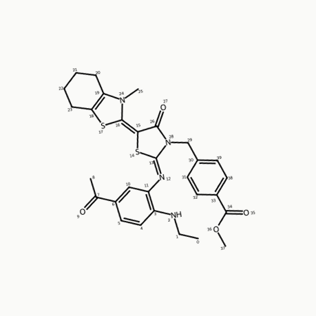 CCNc1ccc(C(C)=O)cc1N=C1SC(=C2SC3=C(CCCC3)N2C)C(=O)N1Cc1ccc(C(=O)OC)cc1